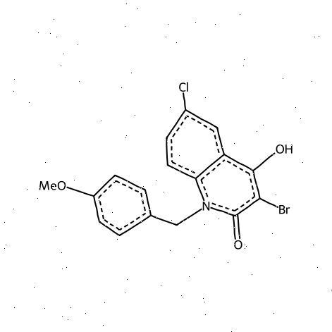 COc1ccc(Cn2c(=O)c(Br)c(O)c3cc(Cl)ccc32)cc1